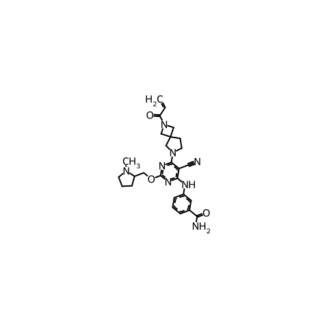 C=CC(=O)N1CC2(CCN(c3nc(OCC4CCCN4C)nc(Nc4cccc(C(N)=O)c4)c3C#N)C2)C1